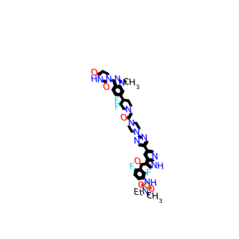 CCN(C)S(=O)(=O)Nc1ccc(F)c(C(=O)c2c[nH]c3ncc(-c4cnc(N5CCN(C(=O)CN6CCC(c7ccc8c(N9CCC(=O)NC9=O)nn(C)c8c7)C(F)(F)C6)CC5)nc4)cc23)c1F